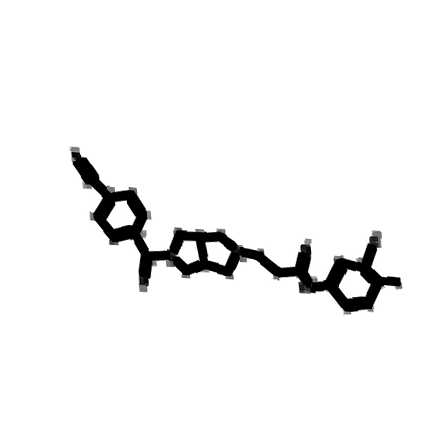 Cc1ccc(NC(=O)CCN2CC3CN(C(=O)c4ccc(C#N)cc4)CC3C2)cc1Cl